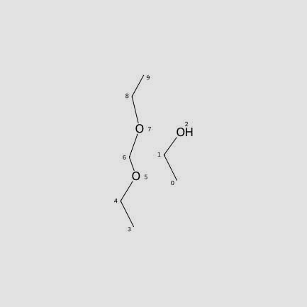 CCO.CCOCOCC